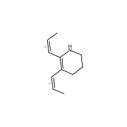 C/C=C\C1=C(/C=C\C)NCCC1